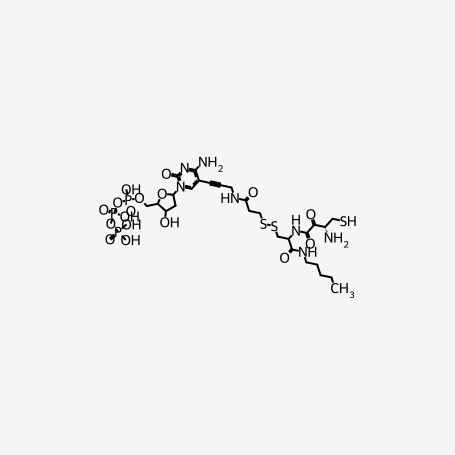 CCCCCNC(=O)C(CSSCCC(=O)NCC#Cc1cn(C2CC(O)C(COP(=O)(O)OP(=O)(O)OP(=O)(O)O)O2)c(=O)nc1N)NC(=O)C(=O)[C@@H](N)CS